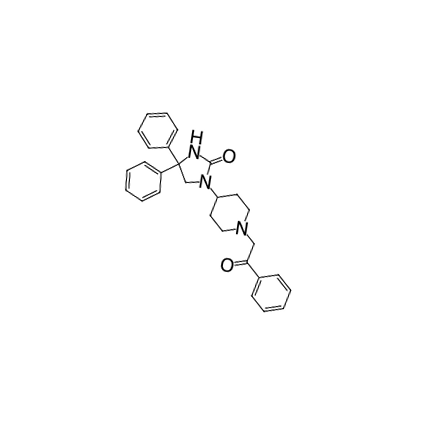 O=C(CN1CCC(N2CC(c3ccccc3)(c3ccccc3)NC2=O)CC1)c1ccccc1